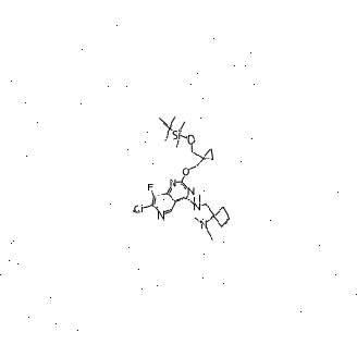 CN(C)C1(CNc2nc(OCC3(CO[Si](C)(C)C(C)(C)C)CC3)nc3c(F)c(Cl)ncc23)CCC1